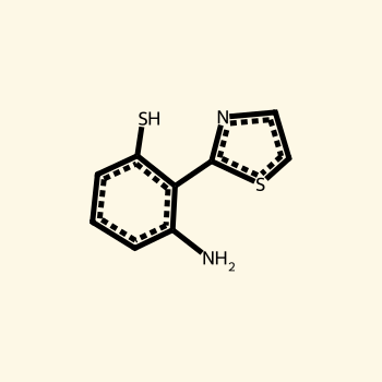 Nc1cccc(S)c1-c1nccs1